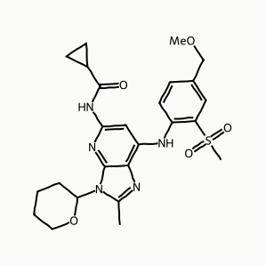 COCc1ccc(Nc2cc(NC(=O)C3CC3)nc3c2nc(C)n3C2CCCCO2)c(S(C)(=O)=O)c1